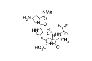 CNC(=O)[C@@H]1C[C@H](N)CN1C(=O)[C@@H]1C[C@H](SC2=C(C(=O)O)N3C(=O)[C@H]([C@@H](C)NC(=O)C(F)F)[C@H]3[C@H]2C)CN1